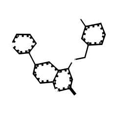 O=c1cc(NCc2cccc(Cl)c2)c2cc(-c3cccnc3)ccc2[nH]1